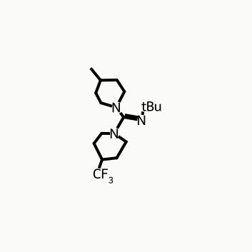 CC1CCN(/C(=N\C(C)(C)C)N2CCC(C(F)(F)F)CC2)CC1